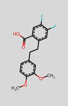 COc1ccc(CCc2cc(F)c(F)cc2C(=O)O)cc1OC